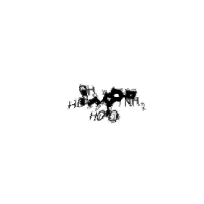 NC1(c2ccc3c(c2)[C@@H](C(=O)O)[C@@H](CCCB(O)O)C3)CCC1